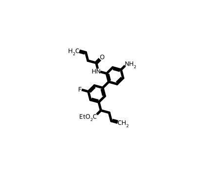 C=CCC(=O)Nc1cc(N)ccc1-c1cc(F)cc(C(CC=C)C(=O)OCC)c1